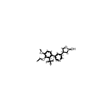 CCOc1c(OC)ccc(-c2cncc(C3COB(O)C3)c2)c1C(F)(F)F